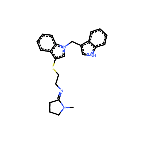 CN1CCC/C1=N\CCSc1cn(Cc2c[nH]c3ccccc23)c2ccccc12